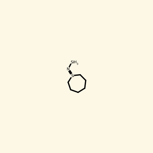 [SiH3]N=[Si]1CCCCCC1